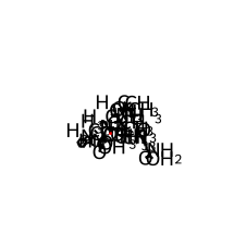 CC[C@H](C)[C@@H]([C@@H](CC(=O)N1CCC[C@H]1[C@H](OC)[C@@H](C)C(=O)N[C@@H](Cc1c[nH]c2ccccc12)C(=O)O)OC)N(C)C(=O)[C@@H](NC(=O)[C@H](C(C)C)N(C)CCCCCC(=O)NCCCC[C@H](N)C(=O)O)C(C)C